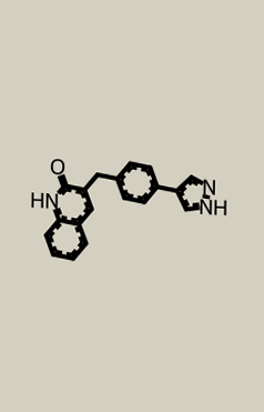 O=c1[nH]c2ccccc2cc1Cc1ccc(-c2cn[nH]c2)cc1